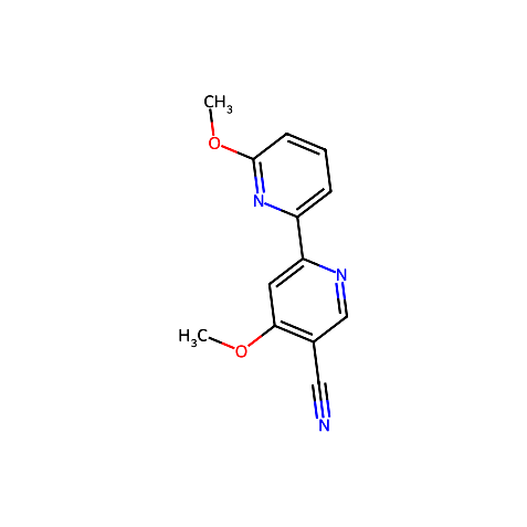 COc1cccc(-c2cc(OC)c(C#N)cn2)n1